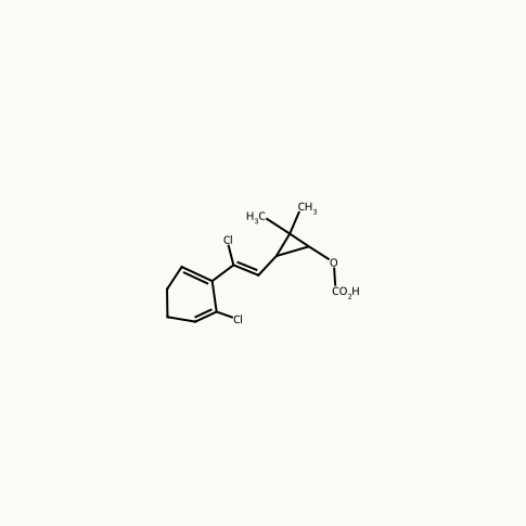 CC1(C)C(C=C(Cl)C2=CCCC=C2Cl)C1OC(=O)O